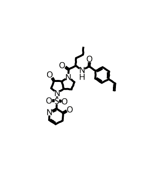 C=Cc1ccc(C(=O)NC(CCC)C(=O)N2CCC3C2C(=O)CN3S(=O)(=O)C2=NC=CCC2=O)cc1